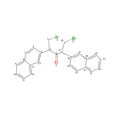 O=C(C(CBr)c1ccc2ccccc2c1)C(CBr)c1ccc2ccccc2c1